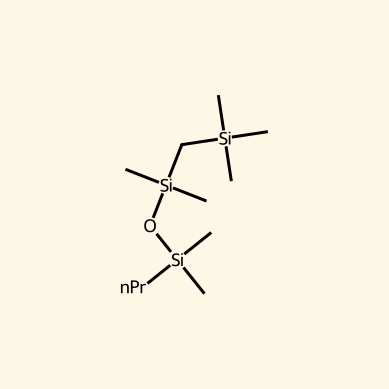 CCC[Si](C)(C)O[Si](C)(C)C[Si](C)(C)C